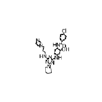 O=C(Nc1ccc(Nc2nc(NCCCn3ccnc3)nc(N3CCCCC3)n2)cc1O)c1ccc(Cl)cc1